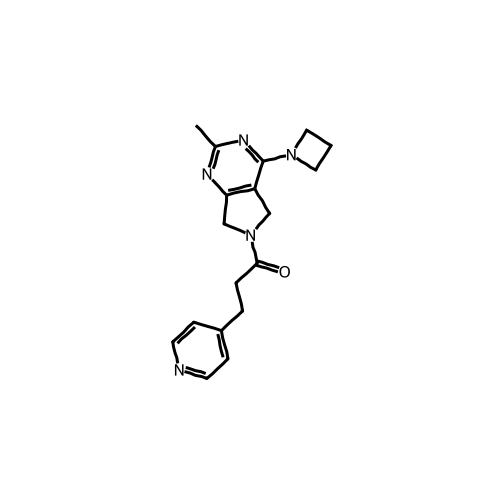 Cc1nc2c(c(N3CCC3)n1)CN(C(=O)CCc1ccncc1)C2